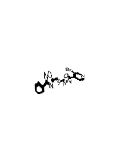 Brc1cnccc1-c1nnc(SCc2nc(-c3ccccc3)no2)o1